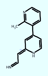 Cc1ncccc1C1=C/C(=C/C=N)NC=C1